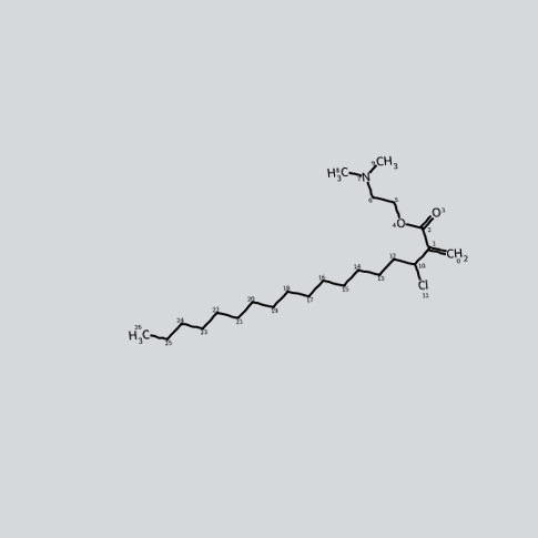 C=C(C(=O)OCCN(C)C)C(Cl)CCCCCCCCCCCCCCC